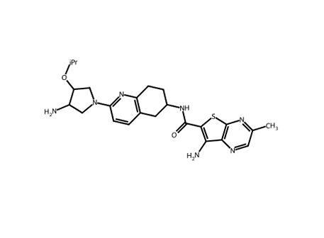 Cc1cnc2c(N)c(C(=O)NC3CCc4nc(N5CC(N)C(OC(C)C)C5)ccc4C3)sc2n1